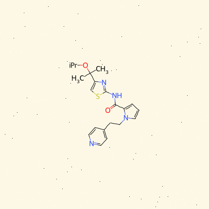 CC(C)OC(C)(C)c1csc(NC(=O)c2cccn2CCc2ccncc2)n1